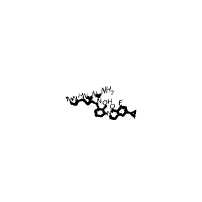 Cn1ccc(-c2cc3c(-c4cccc(-n5ccc6cc(C7CC7)cc(F)c6c5=O)c4CO)nc(N)nc3[nH]2)n1